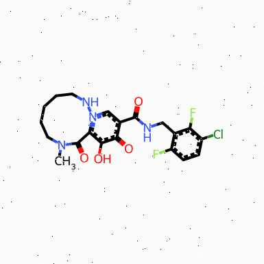 CN1CCCCCNn2cc(C(=O)NCc3c(F)ccc(Cl)c3F)c(=O)c(O)c2C1=O